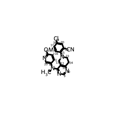 COc1ccc(N(C)c2ncnc3c2CN(c2ccc(Cl)cc2C#N)CC3)cn1